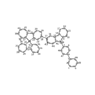 c1ccc(-c2ccc(-n3c4ccccc4c4cc(-c5ccc6c(c5)C(c5ccccc5)(c5ccccc5)c5ccccc5-6)ccc43)cc2)cc1